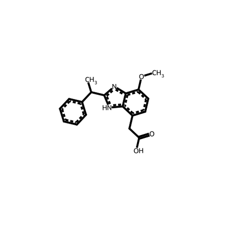 COc1ccc(CC(=O)O)c2[nH]c(C(C)c3ccccc3)nc12